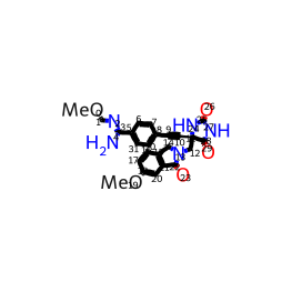 COC/N=C(\N)c1ccc(C#C[C@@]2(CN3Cc4ccc(OC)cc4C3=O)NC(=O)NC2=O)cc1